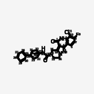 NC(=O)c1c(-c2ccc(F)c(Cl)c2)nn2c1CN(C(=O)NC13CCC(c4ccccc4)(CC1)CC3)CC2